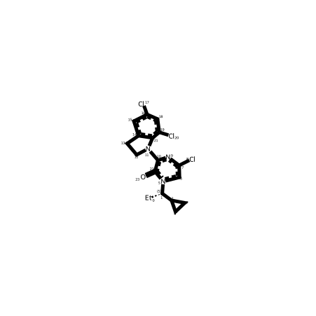 CC[C@@H](C1CC1)n1cc(Cl)nc(N2CCc3cc(Cl)cc(Cl)c32)c1=O